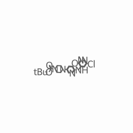 Cn1nc(Cl)cc(Nc2ccc(N3CCN(C(=O)OC(C)(C)C)CC3)cn2)c1=O